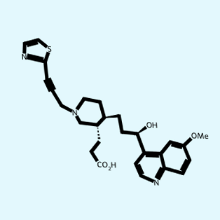 COc1ccc2nccc([C@H](O)CC[C@@H]3CCN(CC#Cc4nccs4)C[C@H]3CCC(=O)O)c2c1